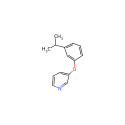 CC(C)c1cccc(Oc2cccnc2)c1